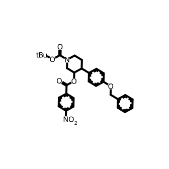 CC(C)(C)OC(=O)N1CCC(c2ccc(OCc3ccccc3)cc2)C(OC(=O)c2ccc([N+](=O)[O-])cc2)C1